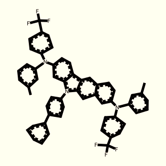 Cc1cccc(N(c2ccc(C(F)(F)F)cc2)c2ccc3cc4c5ccc(N(c6ccc(C(F)(F)F)cc6)c6cccc(C)c6)cc5n(-c5ccc(-c6ccccc6)cc5)c4cc3c2)c1